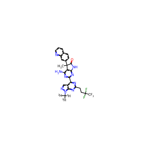 [2H]C([2H])([2H])n1ncc2c(-c3nc(N)c4c(n3)NC(=O)C4(C)c3ccc4cccnc4c3)nc(CCC(F)(F)C(F)(F)F)nc21